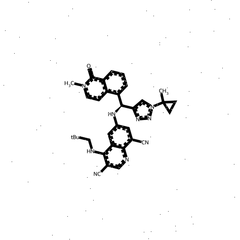 Cn1ccc2c([C@H](Nc3cc(C#N)c4ncc(C#N)c(NCC(C)(C)C)c4c3)c3cn(C4(C)CC4)nn3)cccc2c1=O